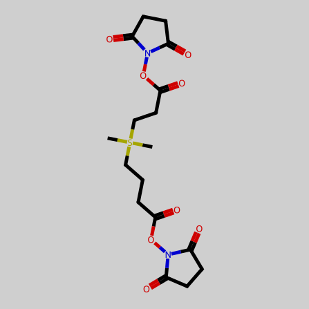 CS(C)(CCCC(=O)ON1C(=O)CCC1=O)CCC(=O)ON1C(=O)CCC1=O